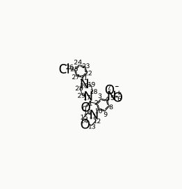 O=C(c1cc([N+](=O)[O-])ccc1N1CCOCC1)N1CCN(c2cccc(Cl)c2)CC1